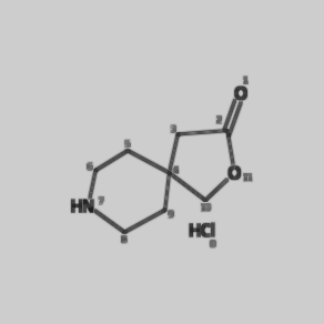 Cl.O=C1CC2(CCNCC2)CO1